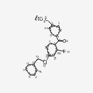 CCOC(=O)c1ccc(C(=O)c2ccc(OCc3ccccc3)cc2F)cc1